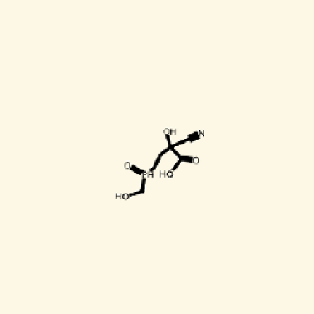 N#CC(O)(CC[PH](=O)CO)C(=O)O